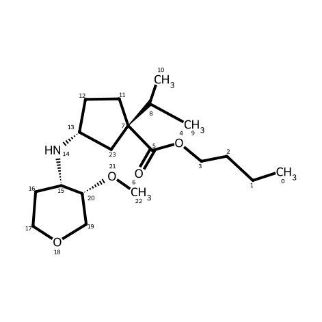 CCCCOC(=O)[C@@]1(C(C)C)CC[C@@H](N[C@H]2CCOC[C@H]2OC)C1